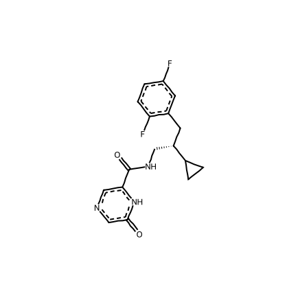 O=C(NC[C@H](Cc1cc(F)ccc1F)C1CC1)c1cncc(=O)[nH]1